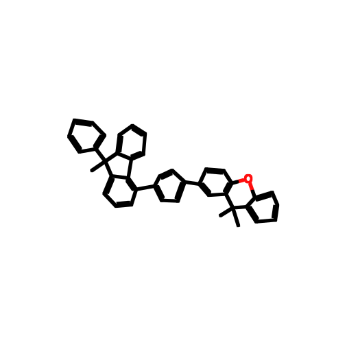 CC1(C)c2ccccc2Oc2ccc(-c3ccc(-c4cccc5c4-c4ccccc4C5(C)c4ccccc4)cc3)cc21